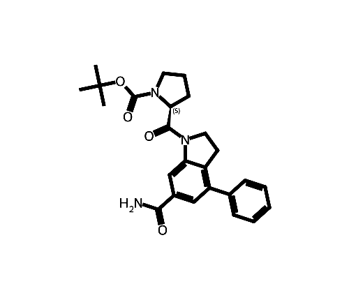 CC(C)(C)OC(=O)N1CCC[C@H]1C(=O)N1CCc2c(-c3ccccc3)cc(C(N)=O)cc21